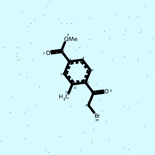 COC(=O)c1ccc(C(=O)CBr)c(C)c1